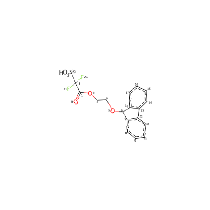 O=C(OCCOC1c2ccccc2-c2ccccc21)C(F)(F)S(=O)(=O)O